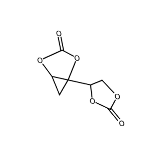 O=C1OCC(C23CC2OC(=O)O3)O1